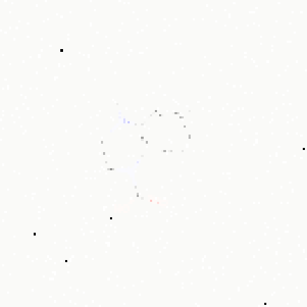 CN1CCN(C(=O)O)c2ccc(Br)cc21